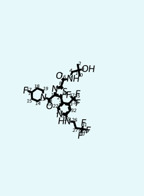 CC(C)(O)CNC(=O)c1nc(C(=O)N2CCC(F)CC2)c(-c2cnc(NCCC(F)(F)F)cc2C(F)(F)F)s1